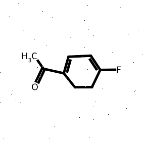 CC(=O)C1=CC=C(F)CC1